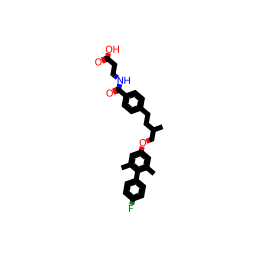 Cc1cc(OCC(C)CCc2ccc(C(=O)NCCC(=O)O)cc2)cc(C)c1-c1ccc(F)cc1